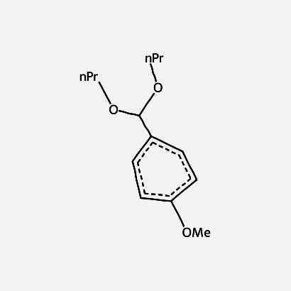 CCCOC(OCCC)c1ccc(OC)cc1